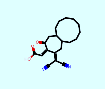 N#CC(C#N)=C1CC2CCCCCCCCC2CC(=O)/C1=C\C(=O)O